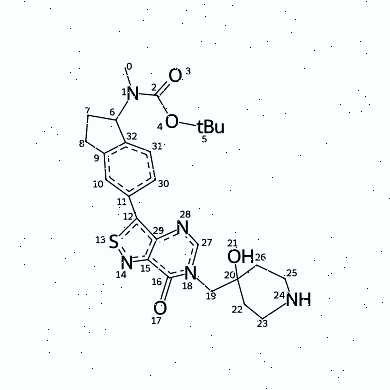 CN(C(=O)OC(C)(C)C)C1CCc2cc(-c3snc4c(=O)n(CC5(O)CCNCC5)cnc34)ccc21